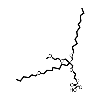 CCCCCCCCCCCCOC[C@@](CCCCCCCOCCCCCC)(COCCOC)COCCOS(=O)(=O)O